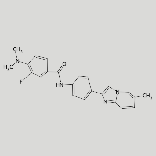 Cc1ccc2nc(-c3ccc(NC(=O)c4ccc(N(C)C)c(F)c4)cc3)cn2c1